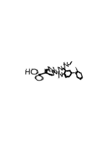 CCN(C)c1nc(-n2cc(C(=O)O)cn2)nc2ccc(-c3ccccc3C)cc12